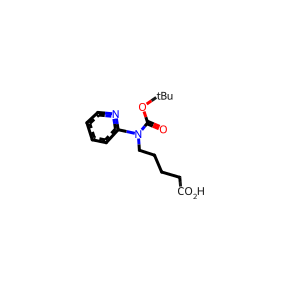 CC(C)(C)OC(=O)N(CCCCC(=O)O)c1ccccn1